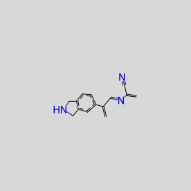 C=C(C#N)/N=C/C(=C)c1ccc2c(c1)CNC2